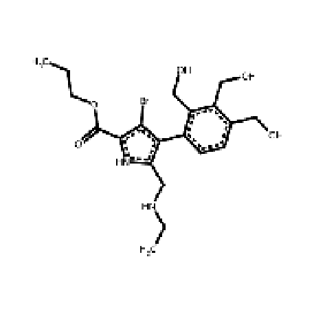 CCCOC(=O)c1[nH]c(CNCC)c(-c2ccc(CO)c(CO)c2CO)c1Br